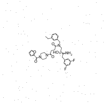 CCc1cccc(CN(C[C@@H](O)[C@@H](N)Cc2cc(F)cc(F)c2)C(=O)CCC(=O)N2CCN(C(=O)c3ccco3)CC2)c1